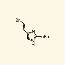 CCCCc1nc(C=CBr)c[nH]1